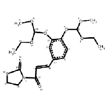 CCOC(OC)Oc1ccc(C=CC(=O)N2CCSC2=S)cc1OC(OC)OCC